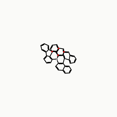 CN(c1ccccc1)c1ccc2ccccc2c1-c1c(N(c2ccccc2)c2cccc3c2Cc2ccccc2-3)ccc2ccccc12